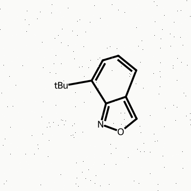 CC(C)(C)c1cccc2conc12